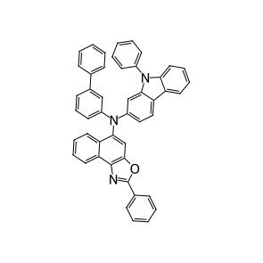 c1ccc(-c2cccc(N(c3ccc4c5ccccc5n(-c5ccccc5)c4c3)c3cc4oc(-c5ccccc5)nc4c4ccccc34)c2)cc1